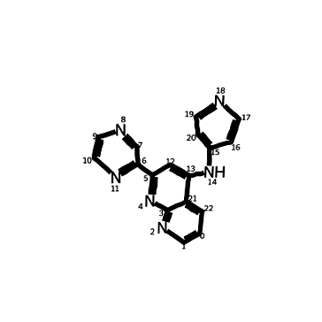 c1cnc2nc(-c3cnccn3)cc(Nc3ccncc3)c2c1